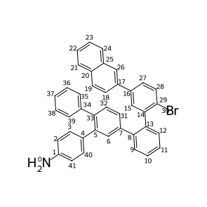 Nc1ccc(-c2cc(-c3ccccc3-c3cc(-c4ccc5ccccc5c4)ccc3Br)ccc2-c2ccccc2)cc1